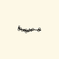 C=CC(=O)OCCCCCCOc1ccc2c(c1)C(C)c1cc(C(=O)Oc3ccc(OCCOC(=O)C(=C)F)cc3)ccc1-2